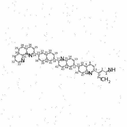 C=C/C(=C\C=N)c1ccc2cc(-c3ccc4nc(-c5ccc6cc(-c7ccc8ccc9cccnc9c8n7)ccc6c5)ccc4c3)ccc2n1